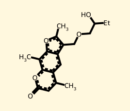 CCC(O)COCc1c(C)oc2c(C)c3oc(=O)cc(C)c3cc12